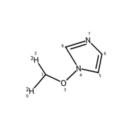 [2H]C([2H])On1ccnc1